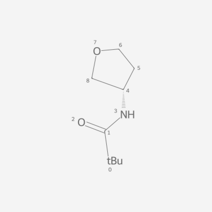 CC(C)(C)C(=O)N[C@H]1CCOC1